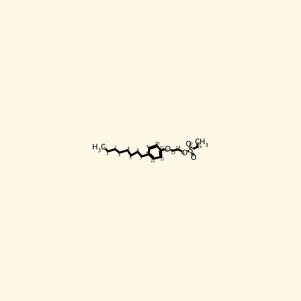 CCCCCCCCc1ccc(OCCOS(=O)(=O)CC)cc1